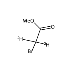 [2H]C([2H])(Br)C(=O)OC